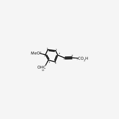 COc1ccc(C#CC(=O)O)cc1C=O